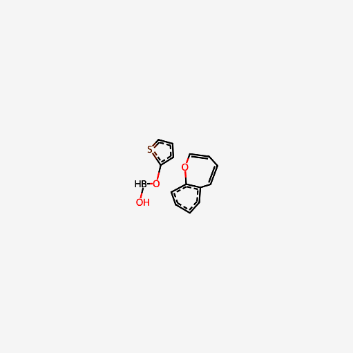 C1=COc2ccccc2C=C1.OBOc1cccs1